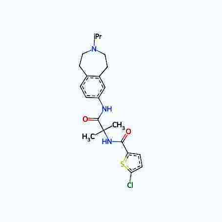 CC(C)N1CCc2ccc(NC(=O)C(C)(C)NC(=O)c3ccc(Cl)s3)cc2CC1